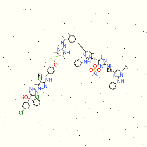 C/C(=N/N=c1\nc(C)cc(C)[nH]1)c1ccccc1C.CC#Cc1cc(C)nc(Nc2ccccc2)n1.CCC(Nc1ncnc(C)c1Cl)c1ccc(OC(F)F)cc1.CCCCc1c(C)nc(NCC)nc1OS(=O)(=O)N(C)C.Cc1cc(C2CC2)nc(Nc2ccccc2)n1.OC(c1ccc(Cl)cc1)(c1cncnc1)c1ccccc1Cl